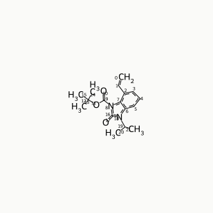 C=Cc1cccc2c1n(C(=O)OC(C)(C)C)c(=O)n2C(C)C